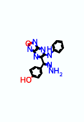 N/N=C(\c1ccc(O)cc1)c1nc2nonc2nc1Nc1ccccc1